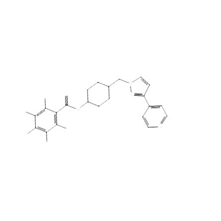 Cc1c(F)c(F)c(Cl)c(C(=O)NC2CCC(Cn3ccc(-c4ccncc4)n3)CC2)c1F